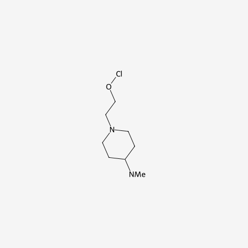 CNC1CCN(CCOCl)CC1